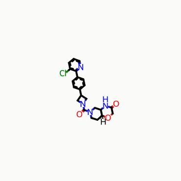 O=C1CO[C@H]2CCN(C(=O)N3CC(c4ccc(-c5ncccc5Cl)cc4)C3)CC2N1